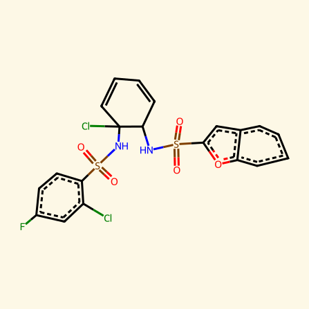 O=S(=O)(NC1C=CC=CC1(Cl)NS(=O)(=O)c1ccc(F)cc1Cl)c1cc2ccccc2o1